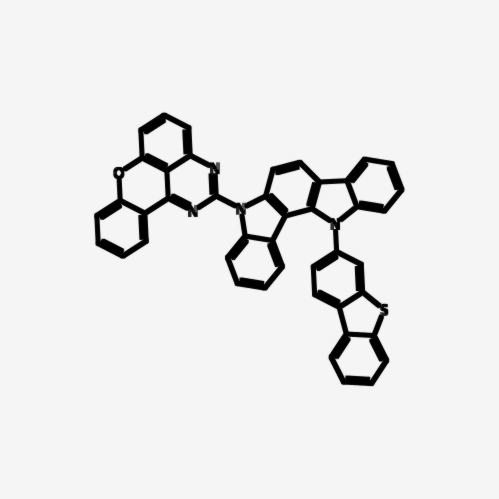 c1ccc2c(c1)Oc1cccc3nc(-n4c5ccccc5c5c4ccc4c6ccccc6n(-c6ccc7c(c6)sc6ccccc67)c45)nc-2c13